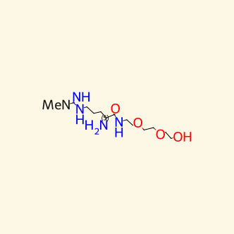 CNC(=N)NCCC[C@H](N)C(=O)NCCOCCOCCO